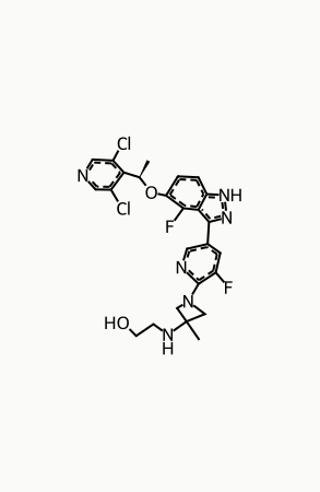 C[C@@H](Oc1ccc2[nH]nc(-c3cnc(N4CC(C)(NCCO)C4)c(F)c3)c2c1F)c1c(Cl)cncc1Cl